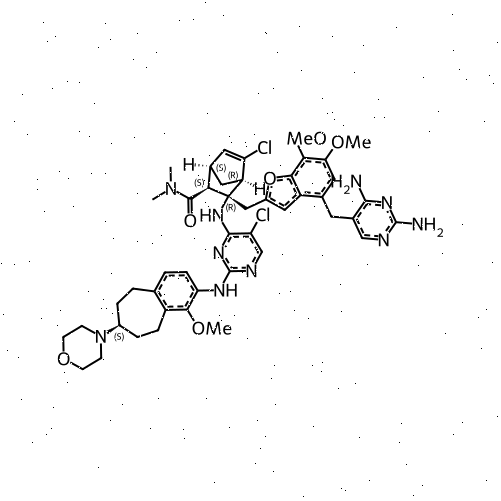 COc1cc(Cc2cnc(N)nc2N)c2cc(C[C@]3(Nc4nc(Nc5ccc6c(c5OC)CC[C@@H](N5CCOCC5)CC6)ncc4Cl)[C@H]4C[C@H](C=C4Cl)[C@@H]3C(=O)N(C)C)oc2c1OC